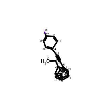 CC[C]12[CH]3[CH]4[CH]5[CH]1[Fe]45321678[CH]2[CH]1[CH]6[C]7(C#Cc1ccc(I)cc1)[CH]28